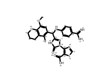 COc1cc(C(Nc2ccc(C(=N)N)cc2)c2nn(-c3ncsc3C(=O)O)c(=O)[nH]2)c(F)c2c1OCCC2